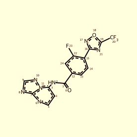 O=C(Nc1ccnc2ncnn12)c1ccc(-c2noc(C(F)(F)F)n2)c(F)c1